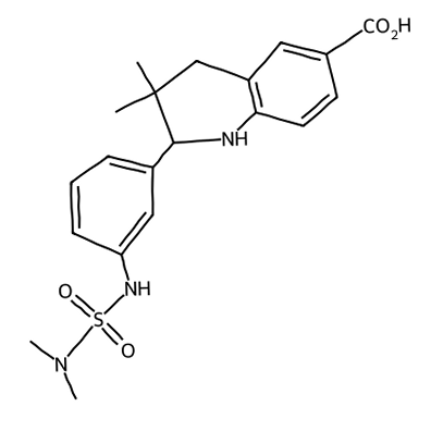 CN(C)S(=O)(=O)Nc1cccc(C2Nc3ccc(C(=O)O)cc3CC2(C)C)c1